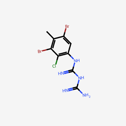 Cc1c(Br)cc(NC(=N)NC(=N)N)c(Cl)c1Br